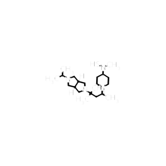 CC(C)N1C[C@@H]2CN(C(C)(C)CC(C)N3CCC(N(C)S)CC3)C[C@@H]2C1